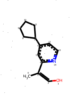 C/C(=C/O)c1cc(C2CCCC2)ccn1